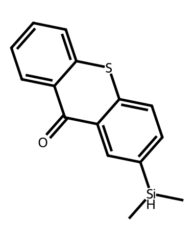 C[SiH](C)c1ccc2sc3ccccc3c(=O)c2c1